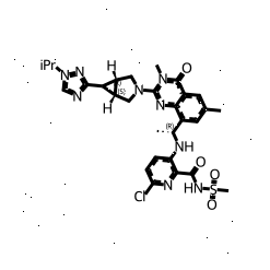 Cc1cc([C@@H](C)Nc2ccc(Cl)nc2C(=O)NS(C)(=O)=O)c2nc(N3C[C@@H]4C(c5ncn(C(C)C)n5)[C@@H]4C3)n(C)c(=O)c2c1